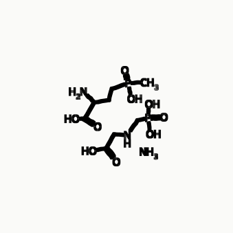 CP(=O)(O)CCC(N)C(=O)O.N.O=C(O)CNCP(=O)(O)O